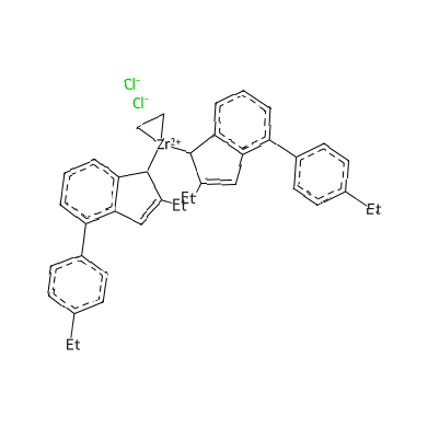 CCC1=Cc2c(-c3ccc(CC)cc3)cccc2[CH]1[Zr+2]1([CH]2C(CC)=Cc3c(-c4ccc(CC)cc4)cccc32)[CH2][CH2]1.[Cl-].[Cl-]